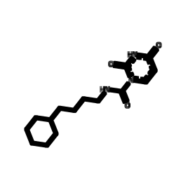 O=C(NCCCCC1CCCCC1)n1ccc(=O)[nH]c1=O